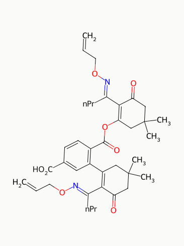 C=CCON=C(CCC)C1=C(OC(=O)c2ccc(C(=O)O)cc2C2=C(C(CCC)=NOCC=C)C(=O)CC(C)(C)C2)CC(C)(C)CC1=O